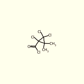 CC1(C)C(Cl)(Cl)C1(Cl)C(=O)Cl